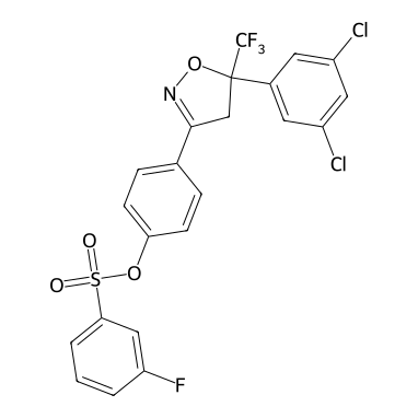 O=S(=O)(Oc1ccc(C2=NOC(c3cc(Cl)cc(Cl)c3)(C(F)(F)F)C2)cc1)c1cccc(F)c1